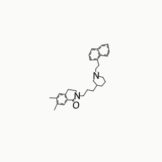 Cc1cc2c(cc1C)C(=O)N(CCCC1CCCN(CCc3cccc4ccccc34)C1)CC2